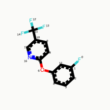 Fc1[c]ccc(Oc2ccc(C(F)(F)F)cn2)c1